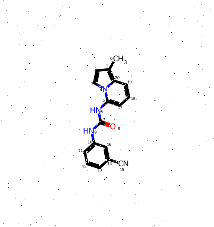 Cc1ccn2c(NC(=O)Nc3cccc(C#N)c3)cccc12